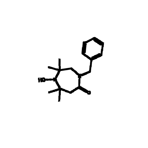 CC1(C)CC(=O)N(Cc2ccccc2)CC(C)(C)N1O